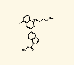 Cc1cccc2c(NCCCN(C)C)nc(-c3ccc4c(cnn4C(=O)OC(C)(C)C)c3)nc12